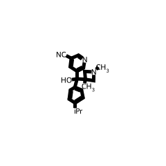 CC(C)c1ccc(C(O)(c2cncc(C#N)c2)C2(C)CN(C)C2)cc1